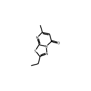 CCc1nn2c(=O)cc(C)nc2s1